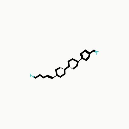 FCCCC=C[C@H]1CC[C@H]([C@H]2CC[C@H](c3ccc(CF)cc3)CC2)CC1